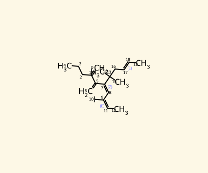 C=C(CCC)C(=C)/C(=C\C(I)=C/C)C(C)(C)C/C=C/C